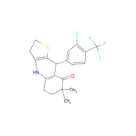 CC1(C)CCC2=C(C1=O)C(c1ccc(C(F)(F)F)c(F)c1)C1=C(CCS1)N2